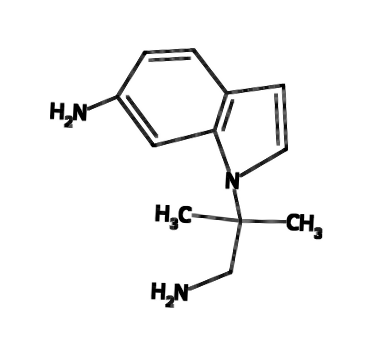 CC(C)(CN)n1ccc2ccc(N)cc21